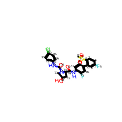 CS(=O)(=O)c1ccc(F)cc1-c1ccc(NC(=O)C2CC(O)CN2C(=O)Nc2ccc(Cl)cc2)c(F)c1